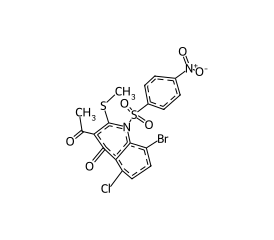 CSc1c(C(C)=O)c(=O)c2c(Cl)ccc(Br)c2n1S(=O)(=O)c1ccc([N+](=O)[O-])cc1